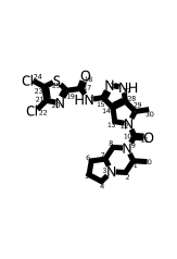 CC1CN2CCCC2CN1C(=O)N1Cc2c(NC(=O)c3nc(Cl)c(Cl)s3)n[nH]c2C1C